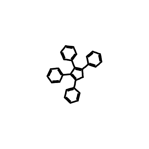 c1ccc(C2=C(c3ccccc3)C(c3ccccc3)=C(c3ccccc3)C2)cc1